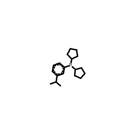 CC(C)c1cccc(P(C2CCCC2)C2CCCC2)c1